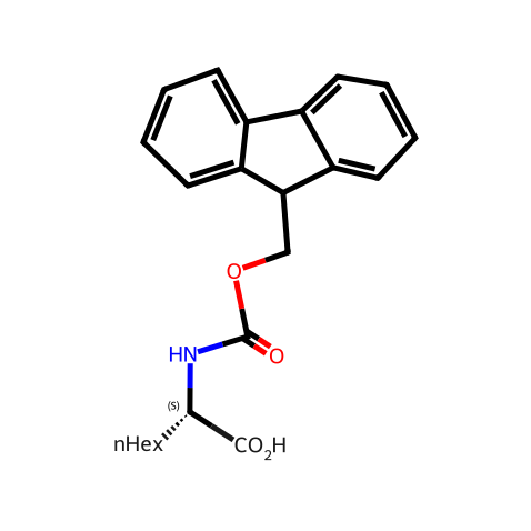 CCCCCC[C@H](NC(=O)OCC1c2ccccc2-c2ccccc21)C(=O)O